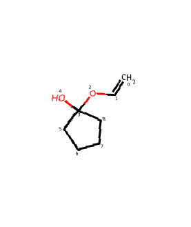 C=COC1(O)CCCC1